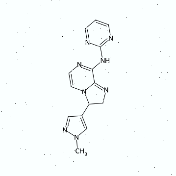 Cn1cc(C2CN=C3C(Nc4ncccn4)=NC=CN32)cn1